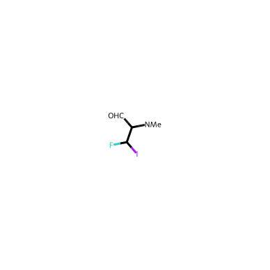 CNC(C=O)C(F)I